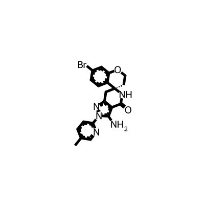 Cc1ccc(-n2nc3c(c2N)C(=O)N[C@@]2(CCOc4cc(Br)ccc42)C3)nc1